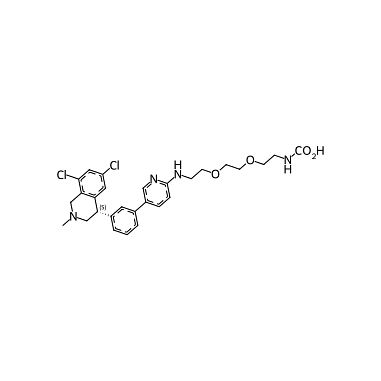 CN1Cc2c(Cl)cc(Cl)cc2[C@H](c2cccc(-c3ccc(NCCOCCOCCNC(=O)O)nc3)c2)C1